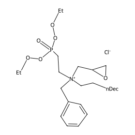 CCCCCCCCCCCC[N+](CCP(=O)(OOCC)OOCC)(Cc1ccccc1)CC1CO1.[Cl-]